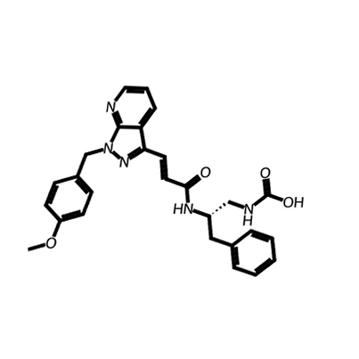 COc1ccc(Cn2nc(/C=C/C(=O)N[C@H](CNC(=O)O)Cc3ccccc3)c3cccnc32)cc1